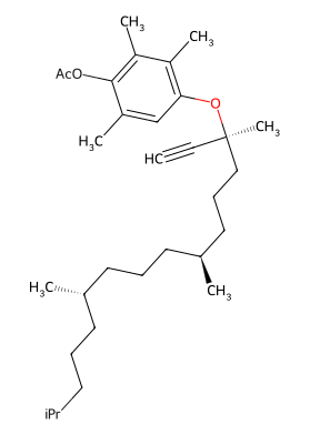 C#C[C@](C)(CCC[C@@H](C)CCC[C@@H](C)CCCC(C)C)Oc1cc(C)c(OC(C)=O)c(C)c1C